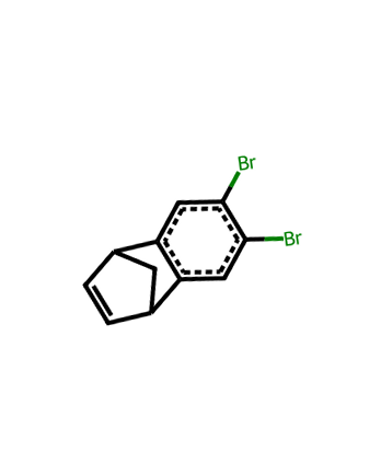 Brc1cc2c(cc1Br)C1C=CC2C1